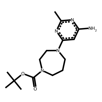 Cc1nc(N)cc(N2CCCN(C(=O)OC(C)(C)C)CC2)n1